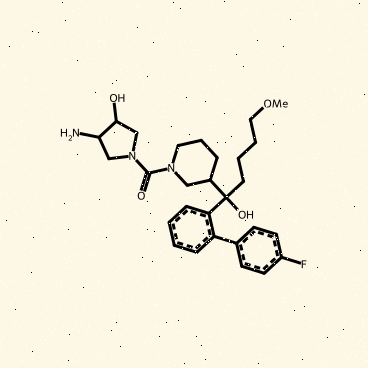 COCCCCC(O)(c1ccccc1-c1ccc(F)cc1)C1CCCN(C(=O)N2CC(N)C(O)C2)C1